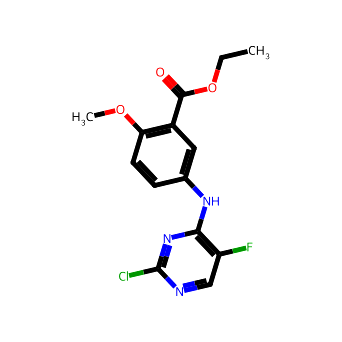 CCOC(=O)c1cc(Nc2nc(Cl)ncc2F)ccc1OC